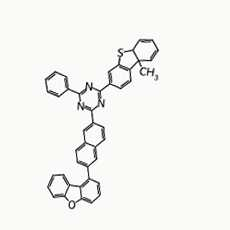 CC12C=CC=CC1Sc1cc(-c3nc(-c4ccccc4)nc(-c4ccc5cc(-c6cccc7oc8ccccc8c67)ccc5c4)n3)ccc12